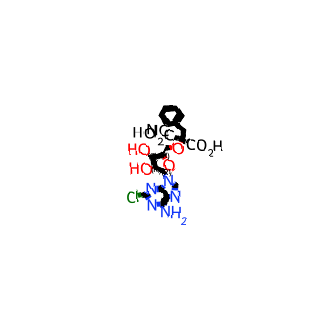 N#Cc1ccccc1CC(OC[C@H]1O[C@@H](n2cnc3c(N)nc(Cl)nc32)[C@H](O)[C@@H]1O)(C(=O)O)C(=O)O